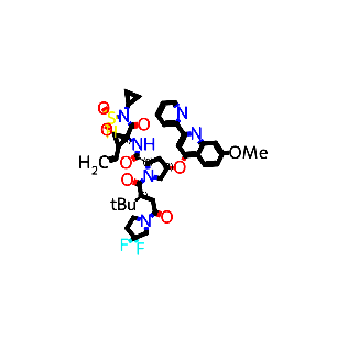 C=CC1C[C@]1(NC(=O)[C@@H]1C[C@@H](Oc2cc(-c3ccccn3)nc3cc(OC)ccc23)CN1C(=O)[C@@H](CC(=O)N1CCC(F)(F)C1)C(C)(C)C)C(=O)N(C1CC1)[SH](=O)=O